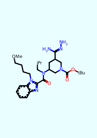 COCCCCn1c(C(=O)N(CC(C)C)C2CC(/C(N)=N/N)CN(C(=O)OC(C)(C)C)C2)nc2ccccc21